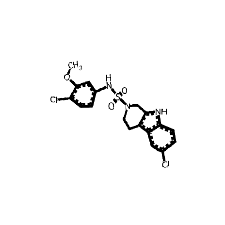 COc1cc(NS(=O)(=O)N2CCc3c([nH]c4ccc(Cl)cc34)C2)ccc1Cl